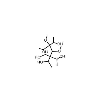 COC(C(CO)(C(C)O)C(C)O)C(OC)(C(C)O)C(C)O